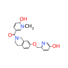 CN1C=C(C(=O)N2CCc3ccc(OCc4ccc(O)cn4)cc3C2)C=CC1O